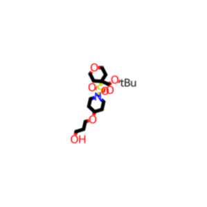 CC(C)(C)OC(=O)C1(S(=O)(=O)N2CCC(OCCCO)CC2)CCOCC1